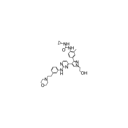 Cc1cc(-c2nn(CCO)cc2-c2ccnc(Nc3cccc(CCN4CCOCC4)c3)n2)ccc1NC(=O)NC1CC1